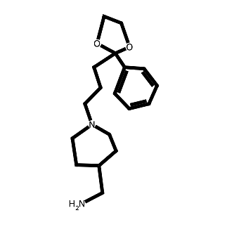 NCC1CCN(CCCC2(c3ccccc3)OCCO2)CC1